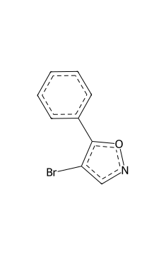 Brc1cnoc1-c1ccccc1